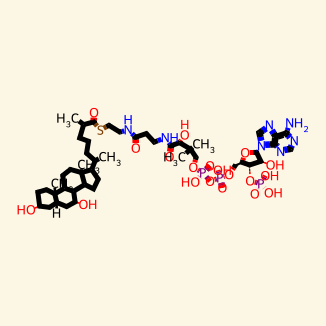 CC(CCCC(C)C1CCC2C3C(CC[C@]12C)[C@@]1(C)CC[C@@H](O)C[C@H]1C[C@H]3O)C(=O)SCCNC(=O)CCNC(=O)C(O)C(C)(C)COP(=O)(O)OP(=O)(O)OC[C@H]1O[C@@H](n2cnc3c(N)ncnc32)[C@H](O)[C@@H]1OP(=O)(O)O